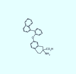 NC1(C(=O)O)CCc2ccc(Oc3ccccc3-c3cccc4ccccc34)cc2C1